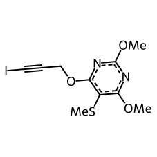 COc1nc(OC)c(SC)c(OCC#CI)n1